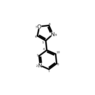 c1cncc(-c2cocn2)c1